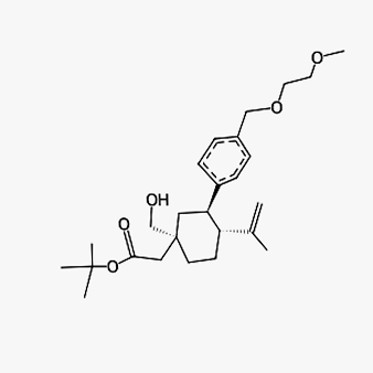 C=C(C)[C@@H]1CC[C@@](CO)(CC(=O)OC(C)(C)C)C[C@H]1c1ccc(COCCOC)cc1